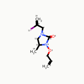 C=CCON1C(=O)N(CC(=C)I)CC1C